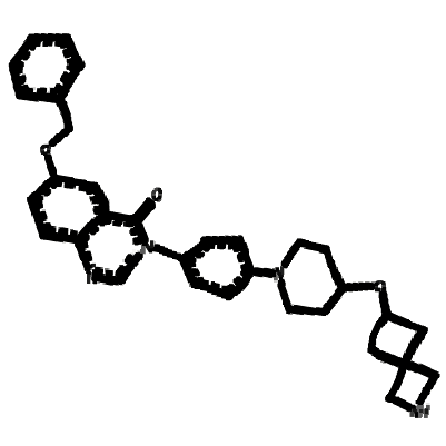 O=c1c2cc(OCc3ccccc3)ccc2ncn1-c1ccc(N2CCC(OC3CC4(CNC4)C3)CC2)cc1